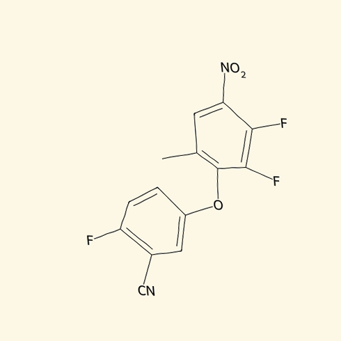 Cc1cc([N+](=O)[O-])c(F)c(F)c1Oc1ccc(F)c(C#N)c1